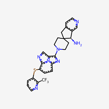 N[C@@H]1c2cnccc2CC12CCN(c1nc3ccc(Sc4cccnc4C(F)(F)F)c4ncc1n34)CC2